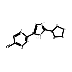 Clc1cnc(-c2cnc(C3CCCC3)[nH]2)cn1